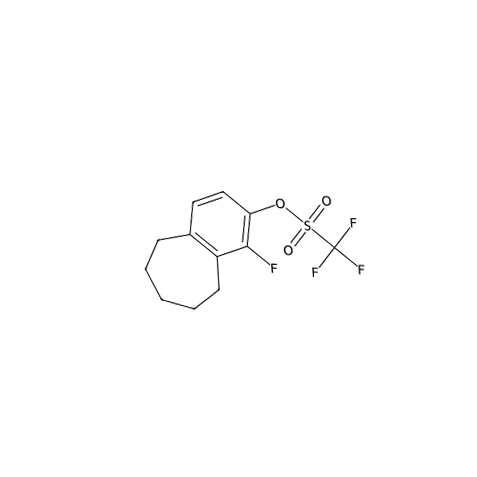 O=S(=O)(Oc1ccc2c(c1F)CCCCC2)C(F)(F)F